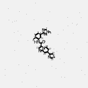 Cc1ccc(-c2ncn(C)n2)cc1NC(=O)c1cnc2cc(-c3cscn3)ccn12